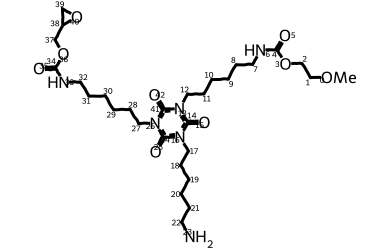 COCCOC(=O)NCCCCCCn1c(=O)n(CCCCCCN)c(=O)n(CCCCCCNC(=O)OCC2CO2)c1=O